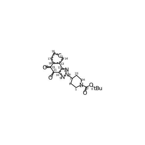 CC(C)(C)OC(=O)N1CCC(n2nc3c(n2)-c2ccccc2C(=O)C3=O)CC1